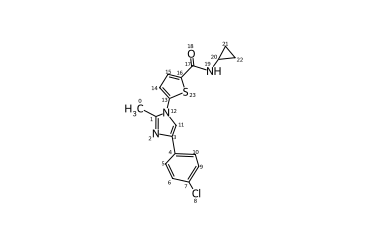 Cc1nc(-c2ccc(Cl)cc2)cn1-c1ccc(C(=O)NC2CC2)s1